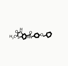 CC1Sc2ccc(C(=O)Nc3ccc(OCc4ccccc4)cc3)cc2NC1=O